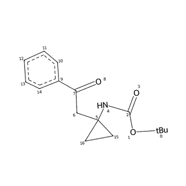 CC(C)(C)OC(=O)NC1(CC(=O)c2ccccc2)CC1